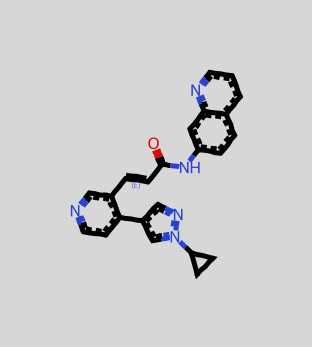 O=C(/C=C/c1cnccc1-c1cnn(C2CC2)c1)Nc1ccc2cccnc2c1